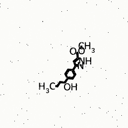 CCCC(O)c1ccc(-c2cc(C(=O)OC)[nH]n2)cc1